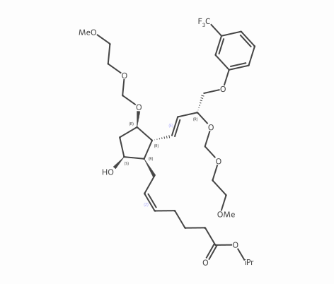 COCCOCO[C@H](/C=C/[C@@H]1[C@@H](C/C=C\CCCC(=O)OC(C)C)[C@@H](O)C[C@H]1OCOCCOC)COc1cccc(C(F)(F)F)c1